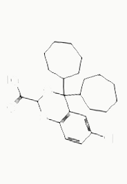 O=C(O)C1Oc2ccc(Cl)cc2C(C2CCCCCC2)(C2CCCCCC2)O1